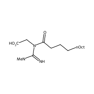 CCCCCCCCCCCC(=O)N(CC(=O)O)C(=N)NC